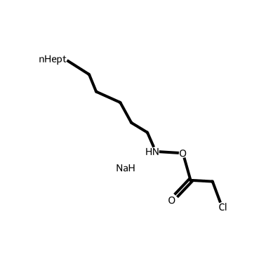 CCCCCCCCCCCCNOC(=O)CCl.[NaH]